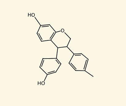 Cc1ccc(C2COc3cc(O)ccc3C2c2ccc(O)cc2)cc1